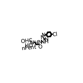 CCCCC[C@H](CN(O)C=O)C(=O)NNc1nnc2ccc(Cl)cc2n1